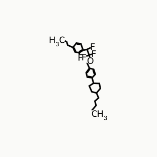 CCCCCC1CCC(c2ccc(COC(F)(F)C(F)c3ccc(CCC)cc3F)cc2)CC1